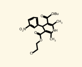 CC1=C(C(=O)OCCCl)C(c2cccc([N+](=O)[O-])c2)C(C(=O)OCC(C)C)=C(C)N1